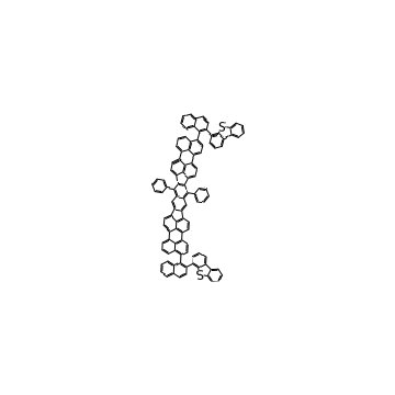 c1ccc(-c2c3cc4c(cc3c(-c3ccccc3)c3c5ccc6c7ccc(-c8c(-c9cccc%10c9sc9ccccc9%10)ccc9ccccc89)c8cccc(c9ccc(c23)c5c96)c87)c2ccc3c5ccc(-c6c(-c7cccc8c7sc7ccccc78)ccc7ccccc67)c6cccc(c7ccc4c2c73)c65)cc1